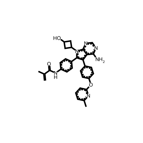 C=C(C)C(=O)Nc1ccc(-c2c(-c3ccc(Oc4cccc(C)n4)cc3)c3c(N)ncnc3n2C2CC(O)C2)cc1